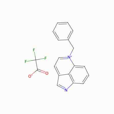 C1=Nc2cccc3c2c1cc[n+]3Cc1ccccc1.O=C([O-])C(F)(F)F